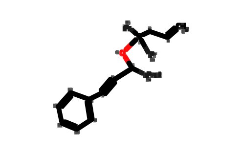 C=CC[Si](OC(C#Cc1ccccc1)CCCCC)(C(C)C)C(C)C